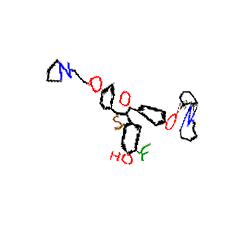 O=C(c1ccc(O[C@@H]2CCCC[C@H]2N2CCCCC2)cc1)c1c(-c2ccc(OCCN3CCCC3)cc2)sc2cc(O)c(F)cc12